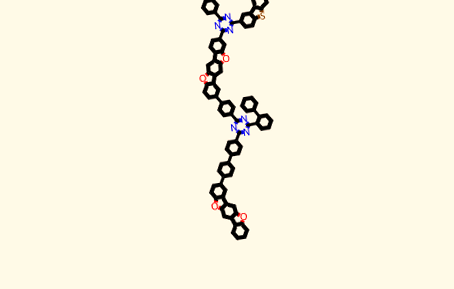 c1ccc(-c2nc(-c3ccc4c(c3)oc3cc5c(cc34)oc3ccc(-c4ccc(-c6nc(-c7ccc(-c8ccc(-c9ccc%10oc%11cc%12c(cc%11c%10c9)oc9ccccc9%12)cc8)cc7)nc(-c7ccccc7-c7ccccc7)n6)cc4)cc35)nc(-c3ccc4sc5ccccc5c4c3)n2)cc1